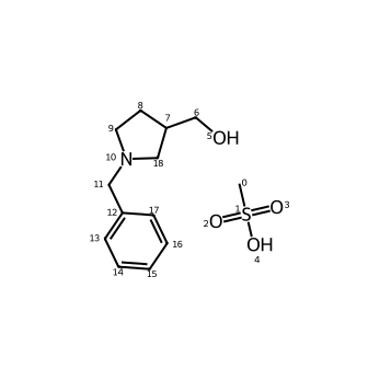 CS(=O)(=O)O.OCC1CCN(Cc2ccccc2)C1